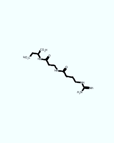 N=C(N)NCCCC(=O)NCCC(=O)NC(CC(=O)O)C(=O)O